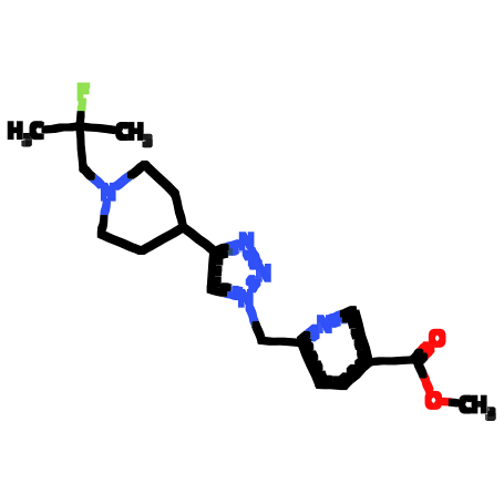 COC(=O)c1ccc(Cn2cc(C3CCN(CC(C)(C)F)CC3)nn2)nc1